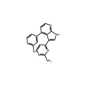 Nc1nccc(-c2c[nH]c3nccc(-c4ccnc(O)c4)c23)n1